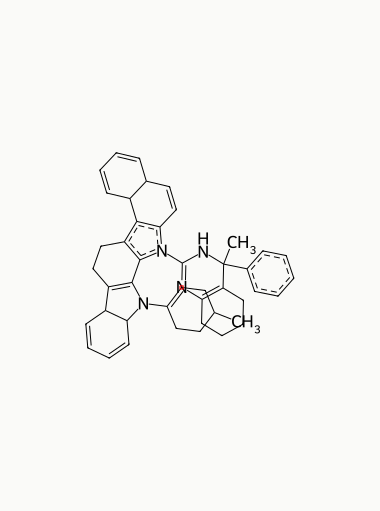 CC1CC=C(N2C3=C(CCc4c5c(n(C6=NC7=C(CCCC7)C(C)(c7ccccc7)N6)c43)C=CC3C=CC=CC53)C3C=CC=CC32)CC1